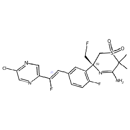 CC1(C)C(N)=N[C@](CF)(c2cc(/C=C(\F)c3cnc(Cl)cn3)ccc2F)CS1(=O)=O